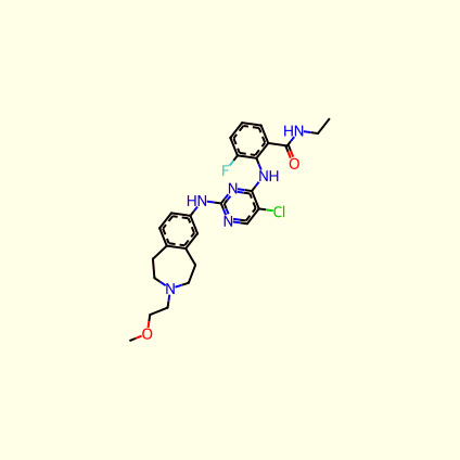 CCNC(=O)c1cccc(F)c1Nc1nc(Nc2ccc3c(c2)CCN(CCOC)CC3)ncc1Cl